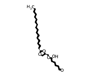 CCCCCCCCCCCCCCCCC[C@H]1OC[C@H](COC(O)CCCCC=O)O1